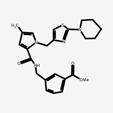 COC(=O)c1cccc(CNC(=O)c2cc(C)cn2Cc2csc(N3CCCCC3)n2)c1